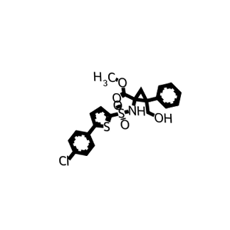 COC(=O)C1(NS(=O)(=O)c2ccc(-c3ccc(Cl)cc3)s2)CC1(CO)c1ccccc1